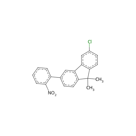 CC1(C)c2ccc(Cl)cc2-c2cc(-c3ccccc3[N+](=O)[O-])ccc21